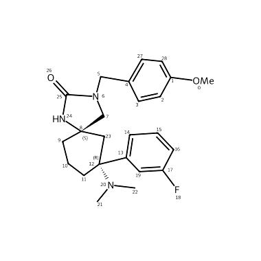 COc1ccc(CN2C[C@@]3(CCC[C@@](c4cccc(F)c4)(N(C)C)C3)NC2=O)cc1